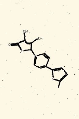 Cc1ccc(-c2ccc(C3OC(=O)C(O)=C3O)cc2)s1